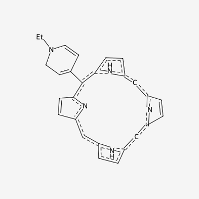 CCN1C=CC(c2c3nc(cc4ccc(cc5nc(cc6ccc2[nH]6)C=C5)[nH]4)C=C3)=CC1